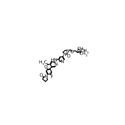 CC1Oc2cc(N3CCCC3=O)c(F)cc2-c2cnc(Nc3cncc(N4CCN(COCC[Si](C)(C)C)C4=O)c3)cc21